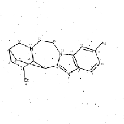 CCC1CC2CC3c4nc5ccc(C)cc5n4CCN(C2)C13